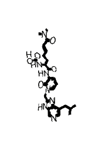 CC(C)Cc1cncc2[nH]c(Cn3cccc(NC(=O)C(CC/C=C/C(=O)N(C)C)NC(=O)O)c3=O)nc12